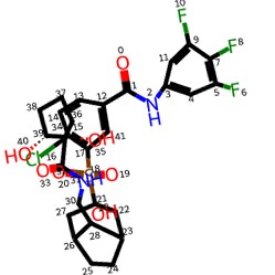 O=C(Nc1cc(F)c(F)c(F)c1)c1ccc(Cl)c(S(=O)(=O)C2CC3CCC(C2)C3(O)CNC(=O)[C@]2(O)CCC[C@H]2O)c1